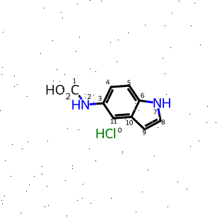 Cl.O=C(O)Nc1ccc2[nH]ccc2c1